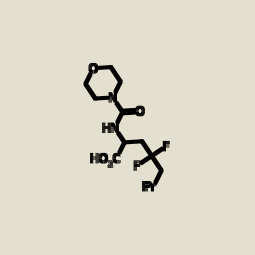 CC(C)CC(F)(F)CC(NC(=O)N1CCOCC1)C(=O)O